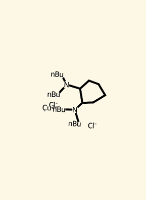 CCCCN(CCCC)C1CCCCC1N(CCCC)CCCC.[Cl-].[Cl-].[Cu+2]